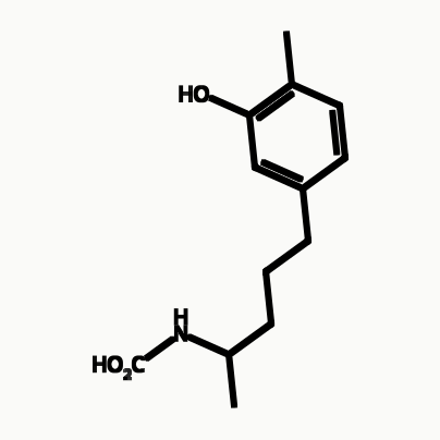 Cc1ccc(CCCC(C)NC(=O)O)cc1O